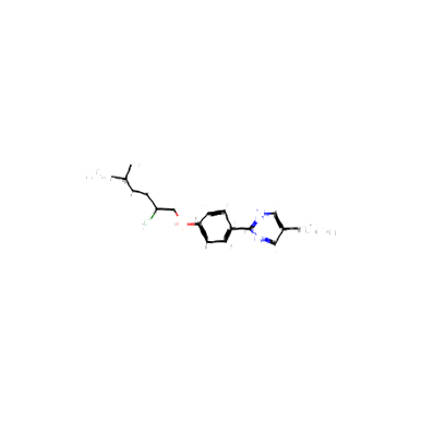 CCCCCCCCCc1cnc(-c2ccc(OCC(F)CCC(C)CCCC)cc2)nc1